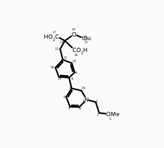 COCCN1C=CC=C(c2ccc(CC(OC(C)(C)C)(C(=O)O)C(=O)O)cc2)C1